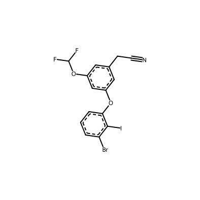 N#CCc1cc(Oc2cccc(Br)c2I)cc(OC(F)F)c1